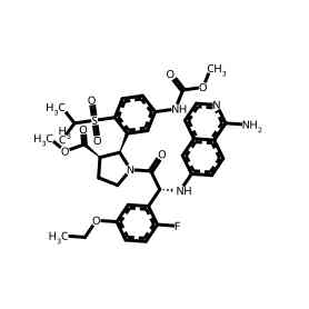 CCOc1ccc(F)c([C@@H](Nc2ccc3c(N)nccc3c2)C(=O)N2CC[C@@H](C(=O)OC)[C@H]2c2cc(NC(=O)OC)ccc2S(=O)(=O)C(C)C)c1